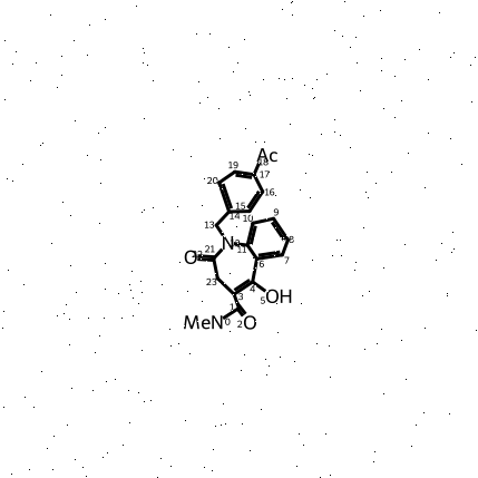 CNC(=O)C1=C(O)c2ccccc2N(Cc2ccc(C(C)=O)cc2)C(=O)C1